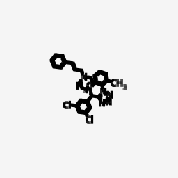 Cc1cccc(C)c1-n1nnnc1C(c1cc(Cl)cc(Cl)c1)N1CCN(CC=Cc2ccccc2)CC1